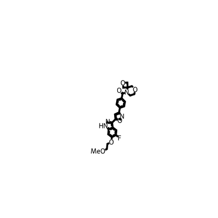 COCCOc1cc2[nH]nc(-c3cc(-c4ccc(C(=O)N5CCOCC56COC6)cc4)no3)c2cc1F